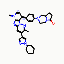 C=N/C=C\C(=C1\C=CC(N2CCN3C(=O)CCC3C2)=CC1)c1cnc2cc(-c3cnn(C4CCCCC4)c3)c(C)nn12